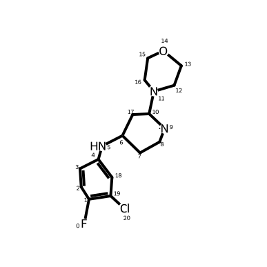 Fc1ccc(NC2CC[N]C(N3CCOCC3)C2)cc1Cl